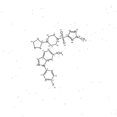 Cc1cc2c(cnn2-c2ccc(F)cc2)cc1[C@H]1CN(S(=O)(=O)c2cnn(C)n2)CCN1C1CCCC1